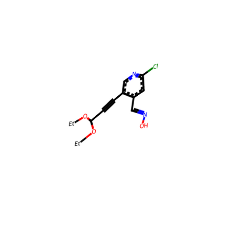 CCOC(C#Cc1cnc(Cl)cc1/C=N/O)OCC